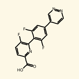 O=C(O)c1ccc(F)c(-c2c(F)cc(-c3ccnnc3)cc2F)n1